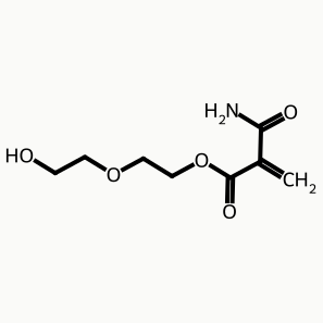 C=C(C(N)=O)C(=O)OCCOCCO